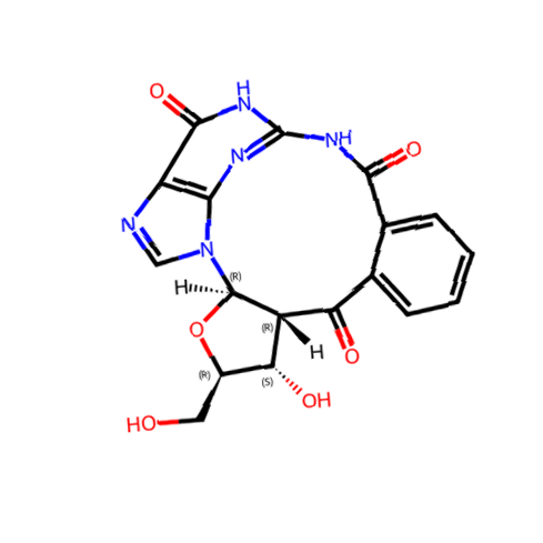 O=C1Nc2nc3c(ncn3[C@@H]3O[C@H](CO)[C@@H](O)[C@H]3C(=O)c3ccccc31)c(=O)[nH]2